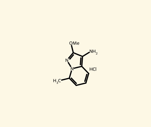 COc1nn2c(C)cccc2c1N.Cl